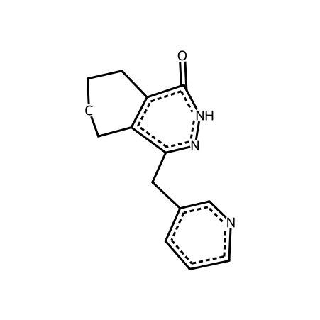 O=c1[nH]nc(Cc2cccnc2)c2c1CCCC2